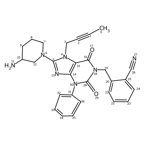 CC#CCn1c(N2CCCC(N)C2)nc2c1c(=O)n(Cc1ccccc1C#N)c(=O)n2-c1ccccc1